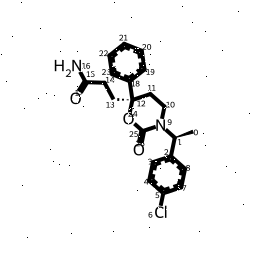 C[C@@H](c1ccc(Cl)cc1)N1CC[C@](CCC(N)=O)(c2ccccc2)OC1=O